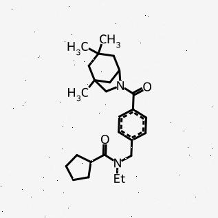 CCN(Cc1ccc(C(=O)N2CC3(C)CC2CC(C)(C)C3)cc1)C(=O)C1CCCC1